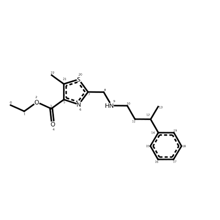 CCOC(=O)c1nc(CNCCC(C)c2ccccc2)sc1C